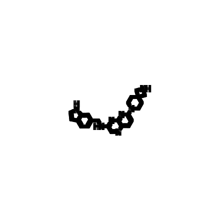 c1cc2ccc(CNc3cnc4ccc(N5CCC6(CC5)CNC6)nc4n3)cc2[nH]1